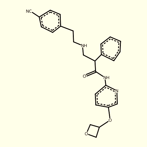 N#Cc1ccc(CCNCC(C(=O)Nc2ccc(OC3COC3)cn2)c2ccccc2)cc1